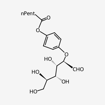 CCCCCC(=O)Oc1ccc(O[C@@H](C=O)[C@@H](O)[C@H](O)[C@H](O)CO)cc1